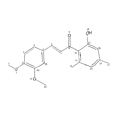 COc1ccc(C=CC(=O)c2c(C)cc(C)cc2O)cc1OC